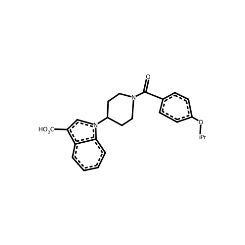 CC(C)Oc1ccc(C(=O)N2CCC(n3cc(C(=O)O)c4ccccc43)CC2)cc1